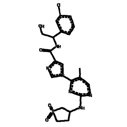 Cc1cnc(NC2CCS(=O)(=O)C2)nc1-n1cnc(C(=O)NC(CO)c2cccc(Cl)c2)c1